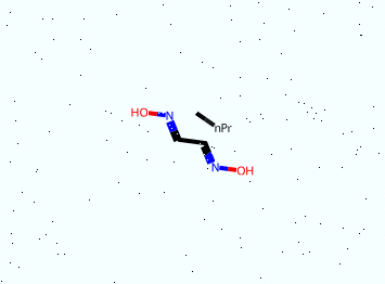 CCCC.O/N=C/C=N/O